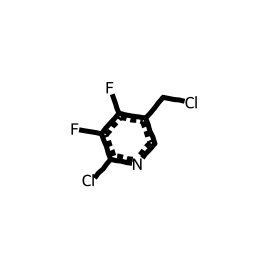 Fc1c(CCl)cnc(Cl)c1F